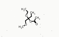 CCOC(CC)(COC)OC(C)=O